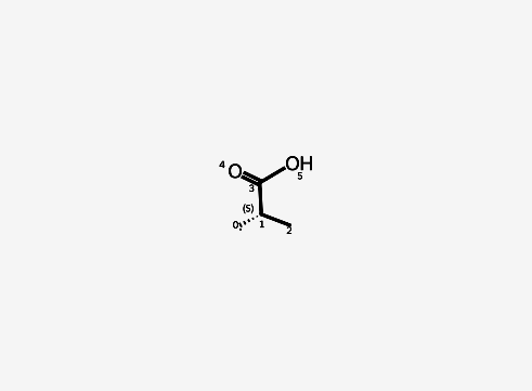 [CH2][C@@H](C)C(=O)O